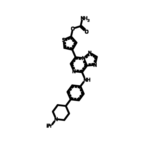 CC(C)N1CCC(c2ccc(Nc3ncc(-c4csc(OC(N)=O)c4)n4ncnc34)cc2)CC1